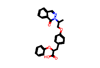 CC(COc1ccc(CC(Oc2ccccc2)C(=O)O)cc1)n1ncc2ccccc2c1=O